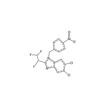 O=[N+]([O-])c1ccc(Cn2c(C(F)C(F)F)nc3cc(Cl)c(Cl)cc32)cc1